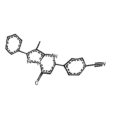 Cc1c(-c2ccccc2)nn2c(=O)cc(-c3ccc(C#N)cc3)[nH]c12